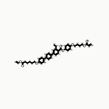 C=COC(=O)CCCCCOc1ccc(-c2ccc(-c3ccc(C(=O)Oc4ccc(OCCCCOC(=O)C=C)cc4)c(CC)c3)cc2)cc1